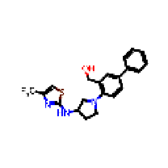 OCc1cc(-c2ccccc2)ccc1N1CCC(Nc2nc(C(F)(F)F)cs2)C1